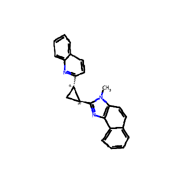 Cn1c([C@H]2C[C@@H]2c2ccc3ccccc3n2)nc2c3ccccc3ccc21